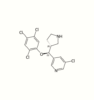 Clc1cncc([C@@H](Oc2cc(Cl)c(Cl)cc2Cl)[C@@H]2CCNC2)c1